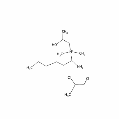 CC(Cl)CCl.CCCCCC(N)[N+](C)(C)CC(C)O